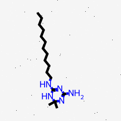 CCCCCCCCCCCCNC1=NC(N)=NC(C)(C)N1